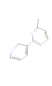 Cc1cccc(-c2[c]nccc2)n1